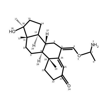 CC(N)O/C=C1/C[C@@H]2[C@H](CC[C@@]3(C)[C@H]2CC[C@]3(C)O)[C@@]2(C)CCC(=O)C=C12